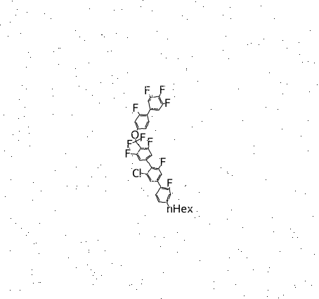 CCCCCCc1ccc(-c2cc(F)c(-c3cc(F)c(C(F)(F)Oc4ccc(-c5cc(F)c(F)c(F)c5)c(F)c4)c(F)c3)c(Cl)c2)c(F)c1